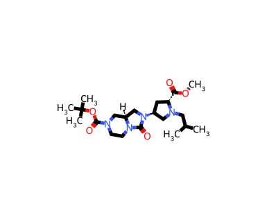 COC(=O)[C@H]1C[C@H](N2C[C@@H]3CN(C(=O)OC(C)(C)C)CCN3C2=O)CN1CC(C)C